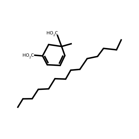 CC1(C(=O)O)C=CC=C(C(=O)O)C1.CCCCCCCCCCCCCC